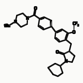 CC(C)(C)N1CCN(C(=O)c2ccc(-c3ccc(CC4CCN(C5CCCCC5)C4=O)c(OC(F)(F)F)c3)cc2)CC1